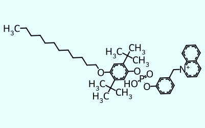 CCCCCCCCCCCCOc1cc(C(C)(C)C)c(OP(=O)(O)Oc2cccc(C[n+]3cccc4ccccc43)c2)cc1C(C)(C)C